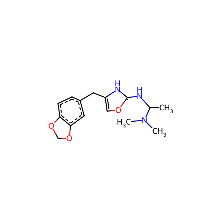 CC(N[C]1NC(Cc2ccc3c(c2)OCO3)=CO1)N(C)C